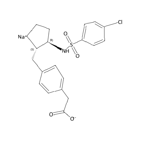 O=C([O-])Cc1ccc(C[C@@H]2CCC[C@H]2NS(=O)(=O)c2ccc(Cl)cc2)cc1.[Na+]